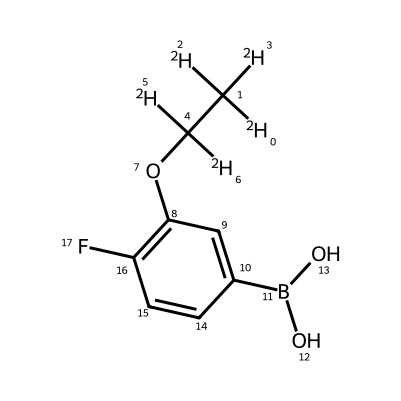 [2H]C([2H])([2H])C([2H])([2H])Oc1cc(B(O)O)ccc1F